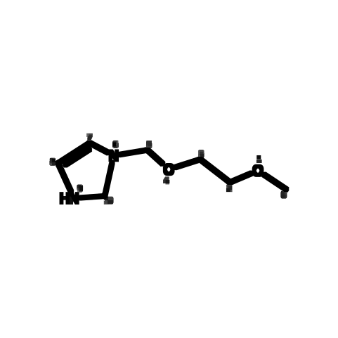 COCCOCN1C=CNC1